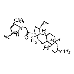 C[C@H]1CC[C@H]2[C@H](CC[C@H]3C4[C@H](C5CC5)C[C@H](C(=O)Cn5nc(C#N)cc5C#N)[C@@]4(C)CC[C@H]23)C1